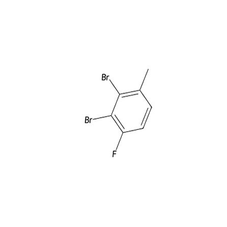 Cc1ccc(F)c(Br)c1Br